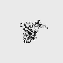 Cn1ccc(COc2ccc(Cl)c3c2C(CN2CC4(CC4)CC2=O)N(C(=O)C2CCCC[C@]2(C)C(=O)O)CC3)cc1=O